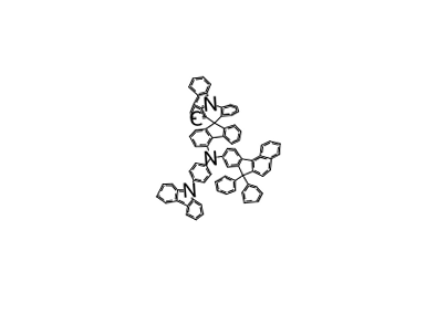 c1ccc(C2(c3ccccc3)c3cc(N(c4ccc(-n5c6ccccc6c6ccccc65)cc4)c4cccc5c4-c4ccccc4C54c5ccccc5-n5c6ccccc6c6cccc4c65)ccc3-c3c2ccc2ccccc32)cc1